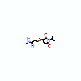 CNC(=N)CCSC1CC(=O)N(C(C)C)C1=O